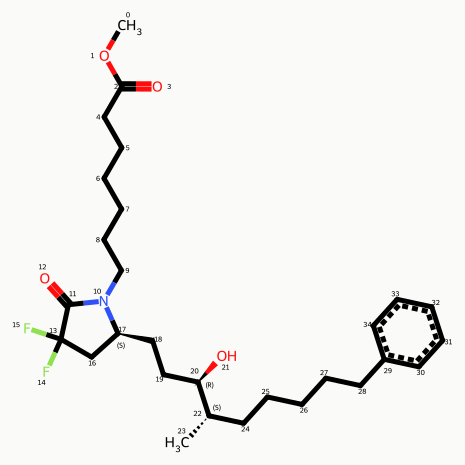 COC(=O)CCCCCCN1C(=O)C(F)(F)C[C@@H]1CC[C@@H](O)[C@@H](C)CCCCCc1ccccc1